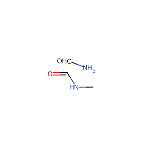 CNC=O.NC=O